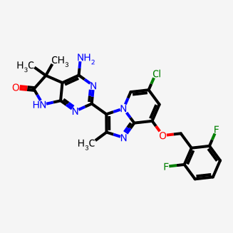 Cc1nc2c(OCc3c(F)cccc3F)cc(Cl)cn2c1-c1nc(N)c2c(n1)NC(=O)C2(C)C